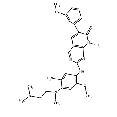 COc1cccc(-c2cc3cnc(Nc4cc(N)c(N(C)CCN(C)C)cc4OC)nc3n(C)c2=O)c1